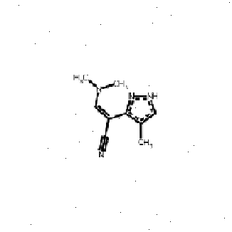 Cc1c[nH]nc1/C(C#N)=C\N(C)C